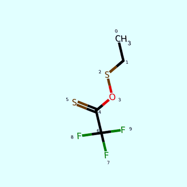 CCSOC(=S)C(F)(F)F